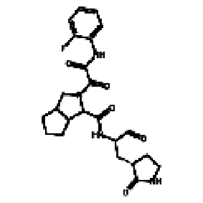 O=CC(C[C@@H]1CCNC1=O)NC(=O)C1C2CCCC2CN1C(=O)C(=O)Nc1ccccc1F